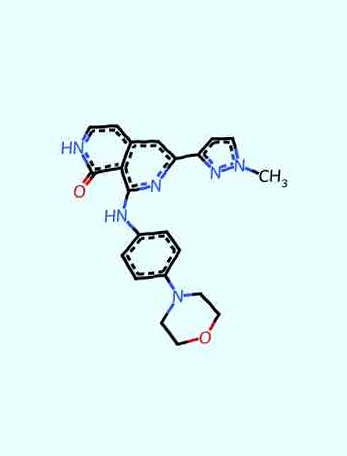 Cn1ccc(-c2cc3cc[nH]c(=O)c3c(Nc3ccc(N4CCOCC4)cc3)n2)n1